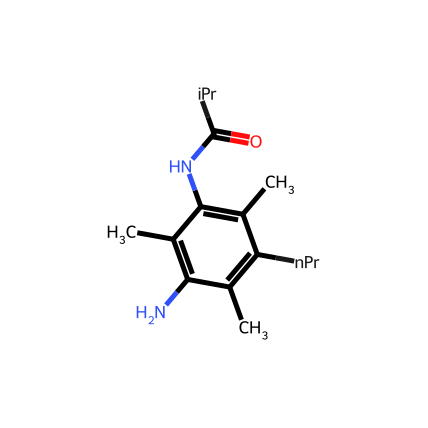 CCCc1c(C)c(N)c(C)c(NC(=O)C(C)C)c1C